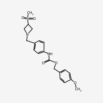 COc1ccc(COC(=O)Nc2ccc(CN3CC(S(C)(=O)=O)C3)cc2)cc1